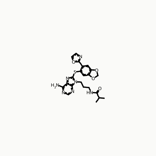 CC(C)C(=O)NCCCn1c(Sc2cc3c(cc2-c2ncco2)OCO3)nc2c(N)ncnc21